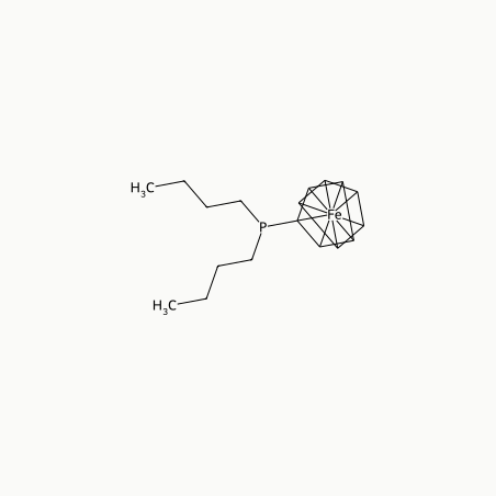 CCCCP(CCCC)[C]12[CH]3[CH]4[CH]5[CH]1[Fe]45321678[CH]2[CH]1[CH]6[CH]7[CH]28